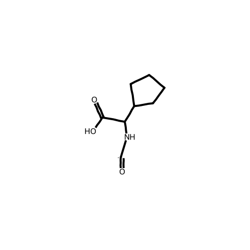 O=[C]NC(C(=O)O)C1CCCC1